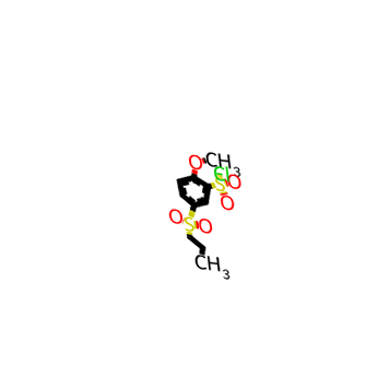 CCCS(=O)(=O)c1ccc(OC)c(S(=O)(=O)Cl)c1